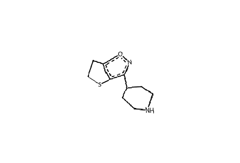 C1CC(c2noc3c2SCC3)CCN1